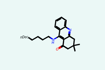 CCCCCCCCCCCCCCNc1c2c(nc3ccccc13)CC(C)(C)CC2=O